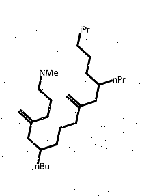 C=C(CCCC(CCCC)CC(=C)CCCNC)CC(CCC)CCCC(C)C